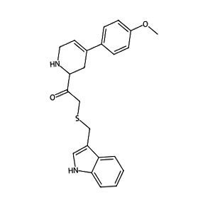 COc1ccc(C2=CCNC(C(=O)CSCc3c[nH]c4ccccc34)C2)cc1